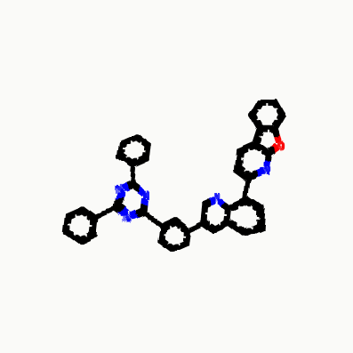 c1ccc(-c2nc(-c3ccccc3)nc(-c3cccc(-c4cnc5c(-c6ccc7c(n6)oc6ccccc67)cccc5c4)c3)n2)cc1